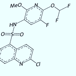 COc1nc(OC(F)F)c(F)cc1NS(=O)(=O)c1cccc2nc(Cl)ccc12